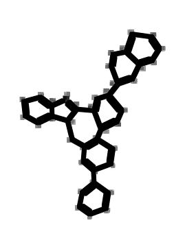 c1ccc(-c2ccc3c(c2)CC2C(=Nc4ccccc42)c2cc(-c4ccc5ccccc5c4)ccc2-3)cc1